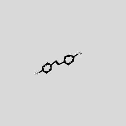 CC(C)c1ccc(/C=C/c2ccc(C(C)C)cc2)cc1